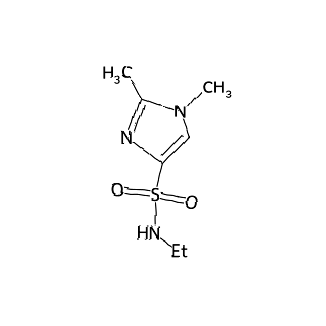 [CH2]CNS(=O)(=O)c1cn(C)c(C)n1